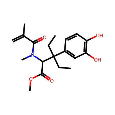 C=C(C)C(=O)N(C)C(C(=O)OC)C(CC)(CC)c1ccc(O)c(O)c1